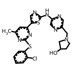 Cc1cc(-c2cnc(Nc3cnc(CN4CCC(O)C4)cn3)s2)nc(Sc2ccccc2Cl)n1